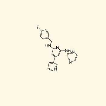 Fc1ccc(CNc2cc(-c3cccnc3)cc(Nc3cnccn3)n2)cc1